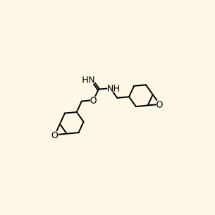 N=C(NCC1CCC2OC2C1)OCC1CCC2OC2C1